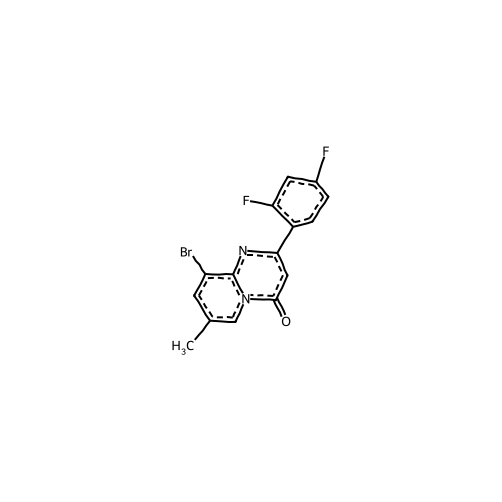 Cc1cc(Br)c2nc(-c3ccc(F)cc3F)cc(=O)n2c1